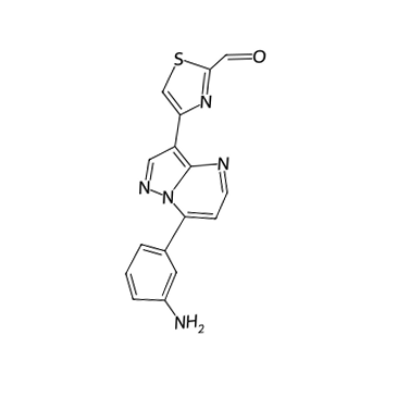 Nc1cccc(-c2ccnc3c(-c4csc(C=O)n4)cnn23)c1